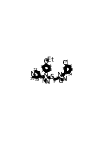 CCOc1ccc(-n2c(SCc3nc(-c4cccc(Cl)c4)no3)nnc2-c2ccncc2)cc1